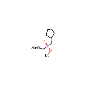 CCOP(=O)(COC)CC1CCCC1